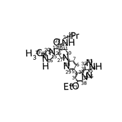 CCOc1cc(-c2ccc(N3CCC(CN4CCN[C@@H](C)C4)(C(=O)NCC(C)C)CC3)nc2)c2c3cn[nH]c3nn2c1